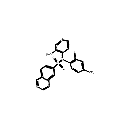 COc1cnccc1N(c1ccc(C(F)(F)F)cc1Cl)S(=O)(=O)c1ccc2cnccc2c1